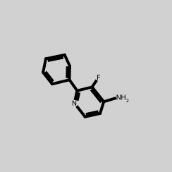 Nc1ccnc(-c2ccccc2)c1F